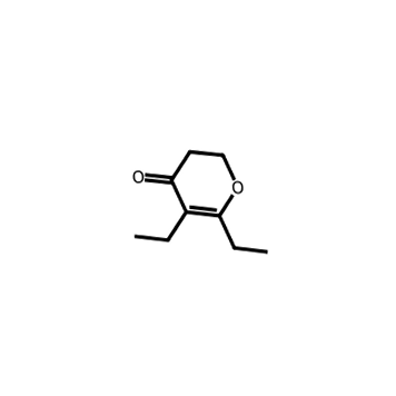 CCC1=C(CC)C(=O)CCO1